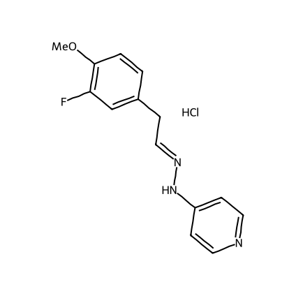 COc1ccc(C/C=N/Nc2ccncc2)cc1F.Cl